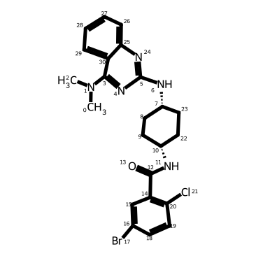 CN(C)c1nc(N[C@H]2CC[C@@H](NC(=O)c3cc(Br)ccc3Cl)CC2)nc2ccccc12